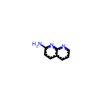 Nc1ccc2cccnc2n1